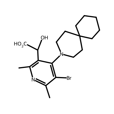 Cc1nc(C)c(C(O)C(=O)O)c(N2CCC3(CCCCC3)CC2)c1Br